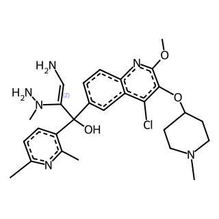 COc1nc2ccc(C(O)(/C(=C/N)N(C)N)c3ccc(C)nc3C)cc2c(Cl)c1OC1CCN(C)CC1